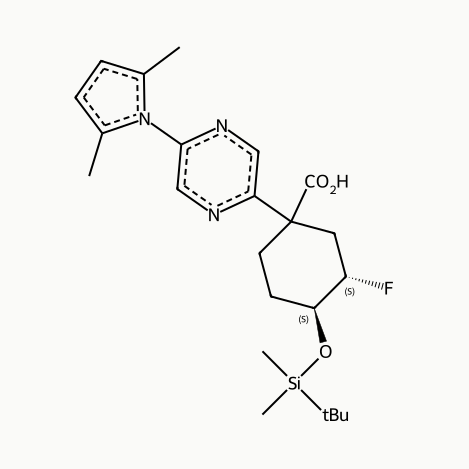 Cc1ccc(C)n1-c1cnc(C2(C(=O)O)CC[C@H](O[Si](C)(C)C(C)(C)C)[C@@H](F)C2)cn1